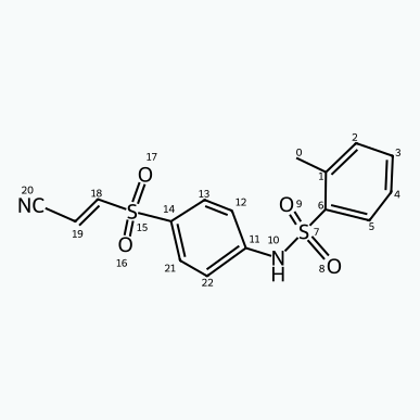 Cc1ccccc1S(=O)(=O)Nc1ccc(S(=O)(=O)C=CC#N)cc1